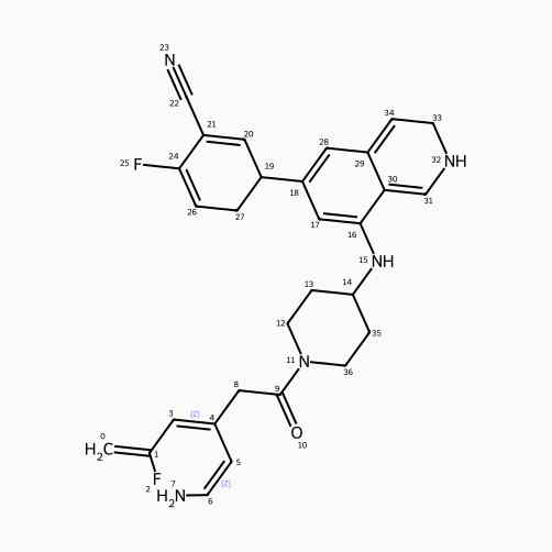 C=C(F)/C=C(\C=C/N)CC(=O)N1CCC(Nc2cc(C3C=C(C#N)C(F)=CC3)cc3c2=CNCC=3)CC1